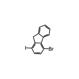 Brc1ccc(I)c2c1-c1ccccc1C2